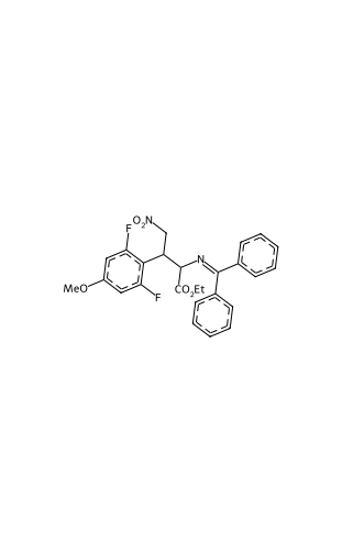 CCOC(=O)C(N=C(c1ccccc1)c1ccccc1)C(C[N+](=O)[O-])c1c(F)cc(OC)cc1F